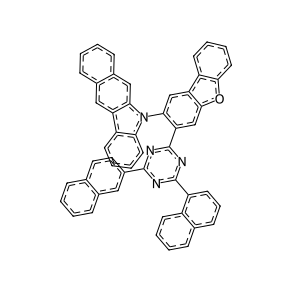 c1ccc2cc(-c3nc(-c4cc5oc6ccccc6c5cc4-n4c5ccccc5c5cc6ccccc6cc54)nc(-c4cccc5ccccc45)n3)ccc2c1